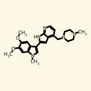 COc1cc2c(-c3cc4c(CN5CCN(C)CC5)ccnc4[nH]3)cn(C)c2cc1OC